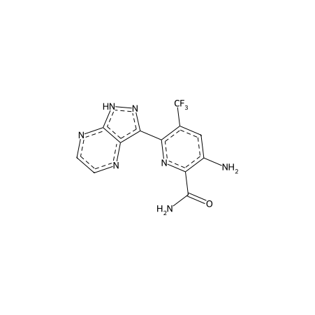 NC(=O)c1nc(-c2n[nH]c3nccnc23)c(C(F)(F)F)cc1N